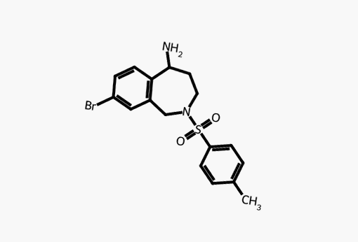 Cc1ccc(S(=O)(=O)N2CCC(N)c3ccc(Br)cc3C2)cc1